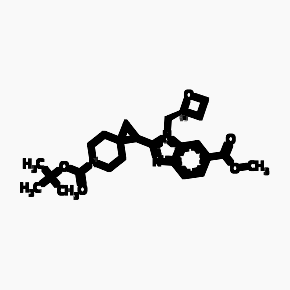 COC(=O)c1ccc2nc(C3CC34CCN(C(=O)OC(C)(C)C)CC4)n(C[C@@H]3CCO3)c2c1